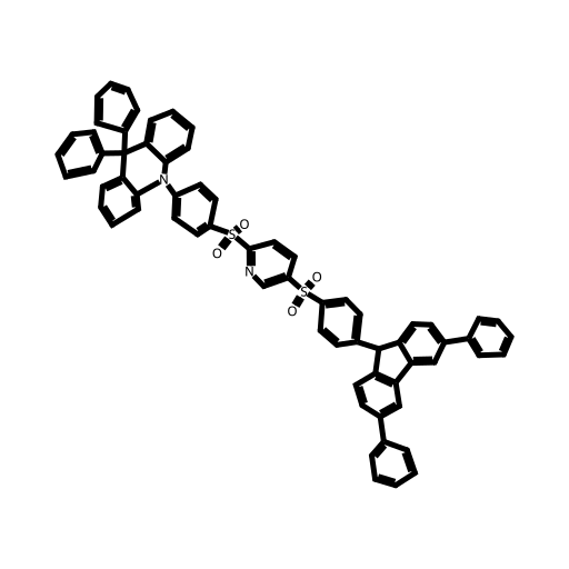 O=S(=O)(c1ccc(C2c3ccc(-c4ccccc4)cc3-c3cc(-c4ccccc4)ccc32)cc1)c1ccc(S(=O)(=O)c2ccc(N3c4ccccc4C(c4ccccc4)(c4ccccc4)c4ccccc43)cc2)nc1